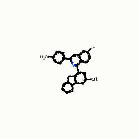 Cc1ccc(-c2cc3cc(C(C)C)ccc3c(-c3cc(C)cc4c3Cc3ccccc3-4)n2)cc1